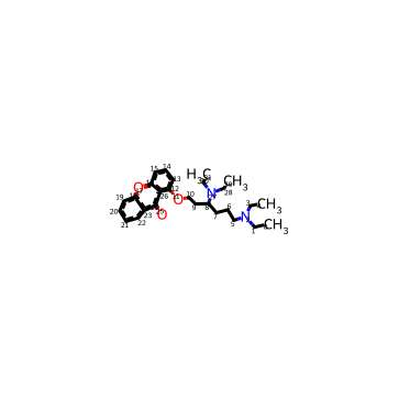 CCN(CC)CCCC(CCOc1cccc2oc3ccccc3c(=O)c12)N(CC)CC